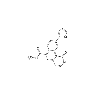 COC(=O)c1cc2cc[nH]c(=O)c2c2cc(-c3ccc[nH]3)ccc12